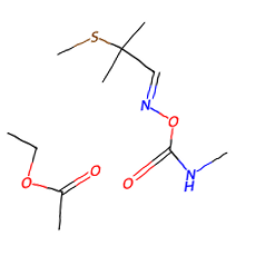 CCOC(C)=O.CNC(=O)ON=CC(C)(C)SC